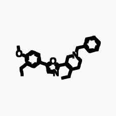 CCC1=C(c2ncc(-c3ccc(OC)c(CC)c3)o2)CN(Cc2ccccc2)CC1